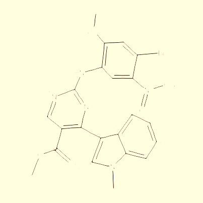 COC(=O)c1cnc(Nc2cc([N+](=O)[O-])c(Br)cc2OC)nc1-c1cn(C)c2ccccc12